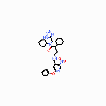 O=C(C(CCNCc1cc(Oc2ccccc2)ncc1[N+](=O)[O-])C1CCCCC1)N(Cc1nnn[nH]1)C1CCCCC1